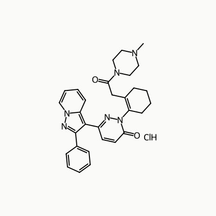 CN1CCN(C(=O)CC2=C(n3nc(-c4c(-c5ccccc5)nn5ccccc45)ccc3=O)CCCC2)CC1.Cl